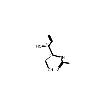 C=C[C@H](O)[C@@H](CO)NC(C)=O